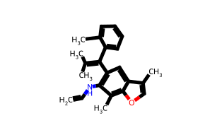 C=CNc1c(C(=C(C)C)c2ccccc2C)cc2c(C)coc2c1C